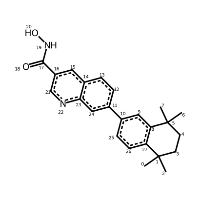 CC1(C)CCC(C)(C)c2cc(-c3ccc4cc(C(=O)NO)cnc4c3)ccc21